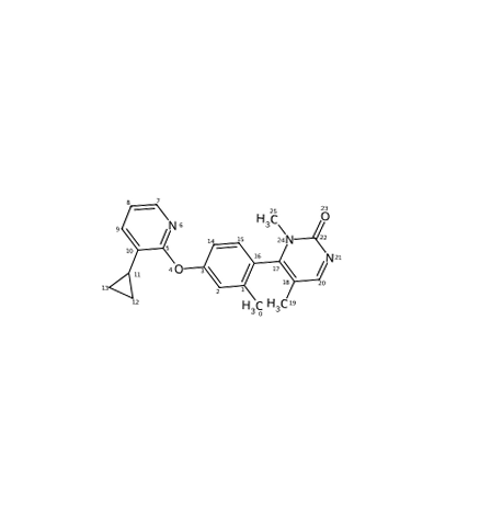 Cc1cc(Oc2ncccc2C2CC2)ccc1-c1c(C)cnc(=O)n1C